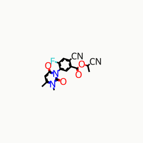 Cc1cc(=O)n(-c2cc(C(=O)OC(C)C#N)c(C#N)cc2F)c(=O)n1C